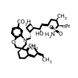 C=C1/C(=C\C(Cl)=C/C)CCC[C@]12COc1ccc(C(=O)O)cc1N(C[C@@H]1CC[C@H]1[C@@H](O)/C=C/C[C@@H](C)[C@@H](CCC)S(N)(=O)=O)C2